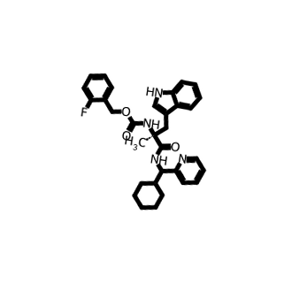 C[C@@](Cc1c[nH]c2ccccc12)(NC(=O)OCc1ccccc1F)C(=O)NC(c1ccccn1)C1CCCCC1